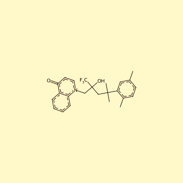 Cc1ccc(C)c(C(C)(C)CC(O)(Cn2ccc(=O)c3ccccc32)C(F)(F)F)c1